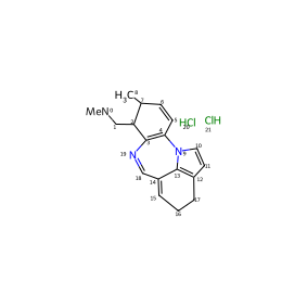 CNCC1C2=C(C=CC1C)n1ccc3c1C(=CCC3)C=N2.Cl.Cl